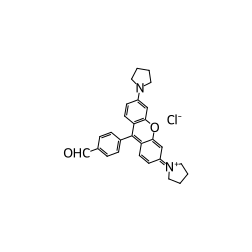 O=Cc1ccc(-c2c3ccc(=[N+]4CCCC4)cc-3oc3cc(N4CCCC4)ccc23)cc1.[Cl-]